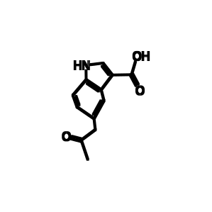 CC(=O)Cc1ccc2[nH]cc(C(=O)O)c2c1